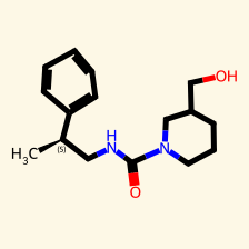 C[C@H](CNC(=O)N1CCCC(CO)C1)c1ccccc1